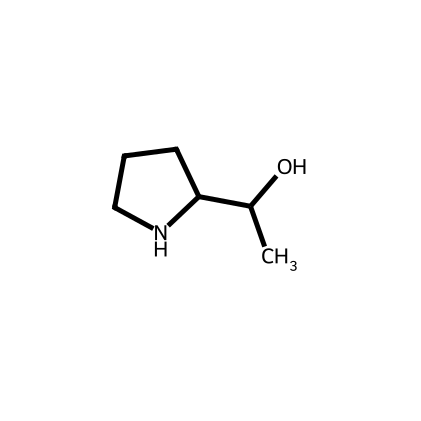 CC(O)C1CCCN1